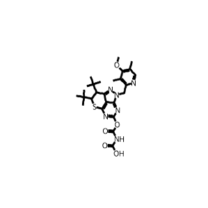 COc1c(C)cnc(Cn2nc3c4c(nc(OC(=O)NC(=O)O)nc42)SC(C(C)(C)C)C3C(C)(C)C)c1C